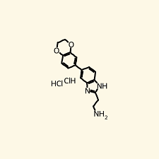 Cl.Cl.NCCc1nc2cc(-c3ccc4c(c3)OCCO4)ccc2[nH]1